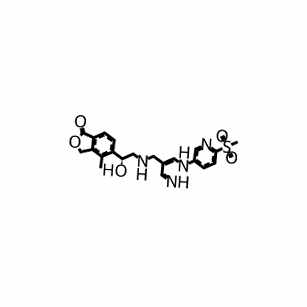 Cc1c([C@@H](O)CNC/C(C=N)=C/Nc2ccc(S(C)(=O)=O)nc2)ccc2c1COC2=O